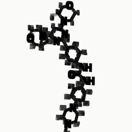 C[C@@H]1COCCN1c1cc(N2C3CCC2COC3)nc(-c2ccc(NC(=O)Nc3ccc(N4CCN(C)CC4)cc3)cc2)n1